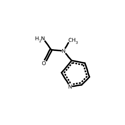 CN(C(N)=O)c1cccnc1